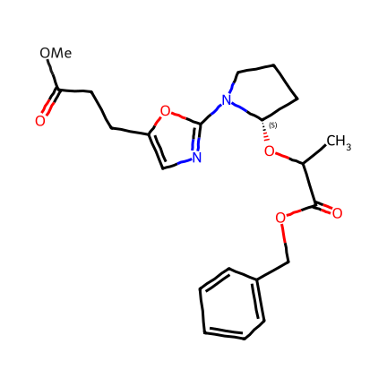 COC(=O)CCc1cnc(N2CCC[C@@H]2OC(C)C(=O)OCc2ccccc2)o1